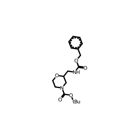 CC(C)(C)OC(=O)N1CCOC(CNC(=O)OCc2ccccc2)C1